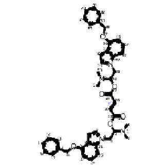 CN(C)C(Cn1ccc2c(OCc3ccccc3)cccc21)OC(=O)/C=C/C(=O)OC(Cn1ccc2c(OCc3ccccc3)cccc21)N(C)C